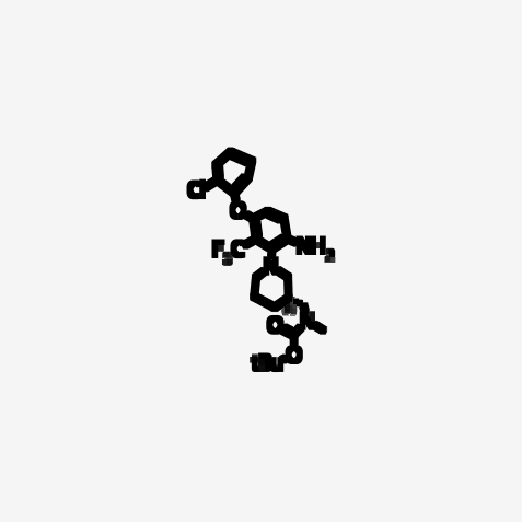 CN(C[C@@H]1CCCN(c2c(N)ccc(Oc3ccccc3Cl)c2C(F)(F)F)C1)C(=O)OC(C)(C)C